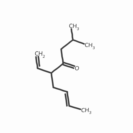 C=CC(C/C=C/C)C(=O)CC(C)C